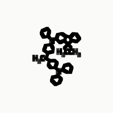 CCC1(CC)c2ccccc2-c2ccc(N(c3ccccc3)c3ccc(C(C)c4ccc(N(c5ccccc5)c5ccccc5)cc4)cc3)cc21